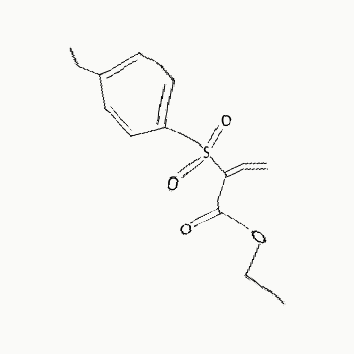 C=C(C(=O)OCC)S(=O)(=O)c1ccc(C)cc1